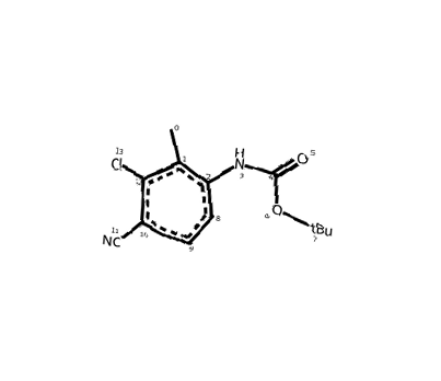 Cc1c(NC(=O)OC(C)(C)C)ccc(C#N)c1Cl